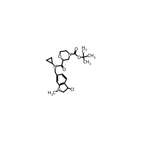 CN1CC(Cl)c2ccc(CN(C(=O)C3CN(C(=O)OC(C)(C)C)CCO3)C3CC3)cc21